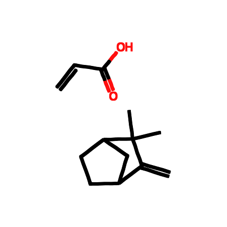 C=C1C2CCC(C2)C1(C)C.C=CC(=O)O